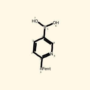 CCCCCc1ccc(B(O)O)cn1